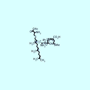 CC(=O)OC(=O)[C@@H](N)CSC/C=C(\C)CC/C=C(\C)CCC=C(C)C.CC[C@H](C)[C@H](N)C(=O)O.COC(=O)[C@@H](N)C(C)C.CSCC[C@H](N)C(=O)O